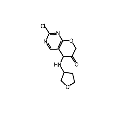 O=C1COc2nc(Cl)ncc2C1NC1CCOC1